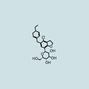 CCC1C=CC(Cc2cc([C@@H]3O[C@H](CO)[C@@H](O)[C@H](O)[C@H]3O)c3c(c2Cl)CCO3)=CC1